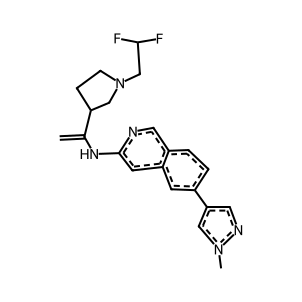 C=C(Nc1cc2cc(-c3cnn(C)c3)ccc2cn1)C1CCN(CC(F)F)C1